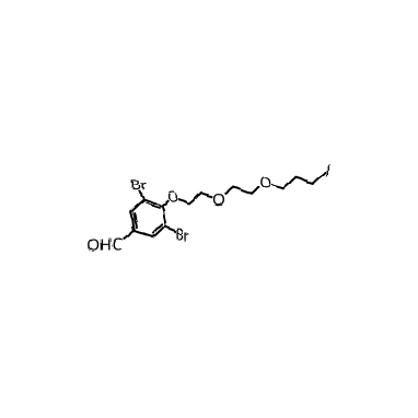 O=Cc1cc(Br)c(OCCOCCOCCCI)c(Br)c1